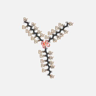 O=P(OCC(Br)C(Br)C(Br)C(Br)C(Br)C(Br)C(Br)C(Br)C(Br)CCBr)(OCC(Br)C(Br)C(Br)C(Br)C(Br)C(Br)C(Br)C(Br)C(Br)CCBr)OCC(Br)C(Br)C(Br)C(Br)C(Br)C(Br)C(Br)C(Br)C(Br)CCBr